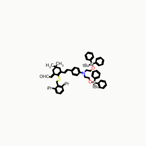 CC(C)c1cccc(C(C)C)c1CSC1=C(/C=C/c2ccc(N(CCO[Si](c3ccccc3)(c3ccccc3)C(C)(C)C)CCO[Si](c3ccccc3)(c3ccccc3)C(C)(C)C)cc2)CC(C)(C)C/C1=C\C=O